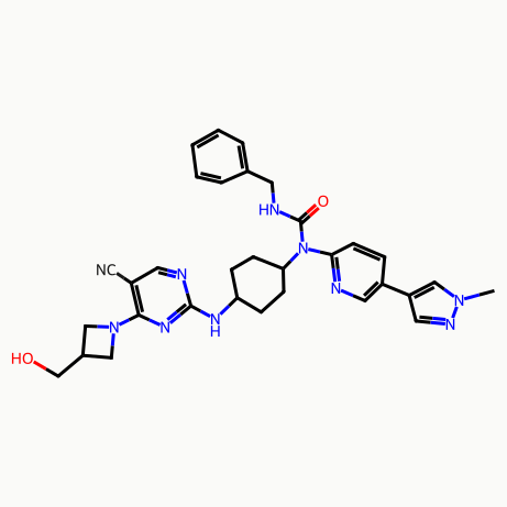 Cn1cc(-c2ccc(N(C(=O)NCc3ccccc3)C3CCC(Nc4ncc(C#N)c(N5CC(CO)C5)n4)CC3)nc2)cn1